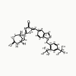 O=C1N[C@@H]2C[C@H](CO1)N(C1=NC(=O)C(=Cc3ccc4c(cnn4Cc4ccc(C(F)(F)F)cc4C(F)(F)F)c3)S1)C2